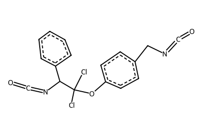 O=C=NCc1ccc(OC(Cl)(Cl)C(N=C=O)c2ccccc2)cc1